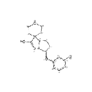 O=C(O)C1(N2CC[C@@H](Oc3cccc(Cl)c3)C2)CCOCC1